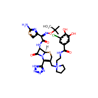 CC(C)(O/N=C(\C(=O)N[C@@H]1C(=O)N2C(c3nnn[nH]3)=C(C[N+]3(CCNC(=O)c4cc(O)c(O)c(Cl)c4)CCCC3)CS[C@H]12)c1csc(N)n1)C(=O)O